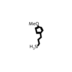 COc1ccc(CCC[SiH3])cc1